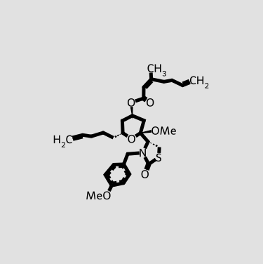 C=CCCC[C@@H]1C[C@@H](OC(=O)/C=C(/C)CCC=C)C[C@](OC)([C@@H]2CSC(=O)N2Cc2ccc(OC)cc2)O1